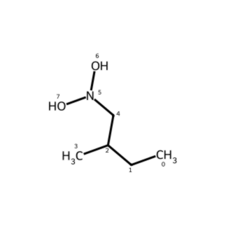 CCC(C)CN(O)O